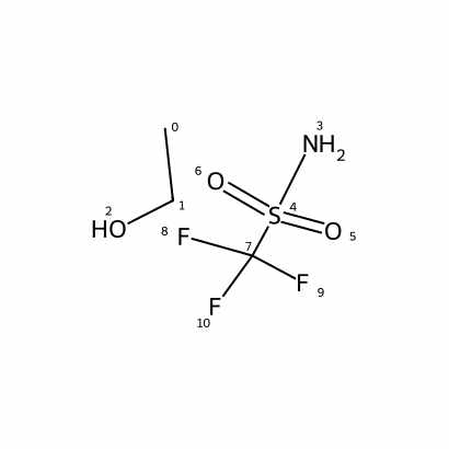 CCO.NS(=O)(=O)C(F)(F)F